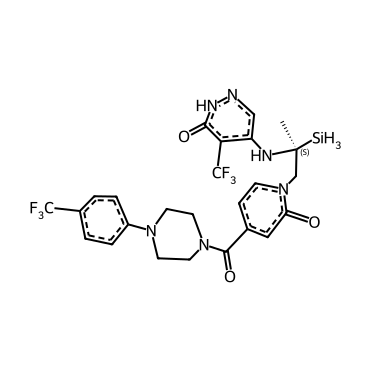 C[C@]([SiH3])(Cn1ccc(C(=O)N2CCN(c3ccc(C(F)(F)F)cc3)CC2)cc1=O)Nc1cn[nH]c(=O)c1C(F)(F)F